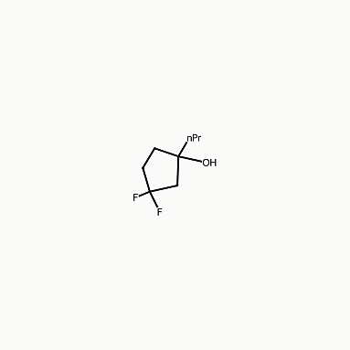 [CH2]CCC1(O)CCC(F)(F)C1